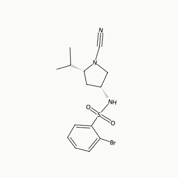 CC(C)[C@H]1C[C@@H](NS(=O)(=O)c2ccccc2Br)CN1C#N